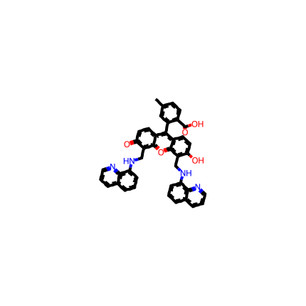 Cc1ccc(C(=O)O)c(-c2c3ccc(=O)c(CNc4cccc5cccnc45)c-3oc3c(CNc4cccc5cccnc45)c(O)ccc23)c1